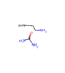 CNCCN.NC(N)=O